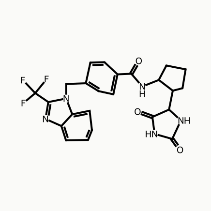 O=C1NC(=O)C(C2CCCC2NC(=O)c2ccc(Cn3c(C(F)(F)F)nc4ccccc43)cc2)N1